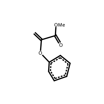 C=C(Oc1ccccc1)C(=O)OC